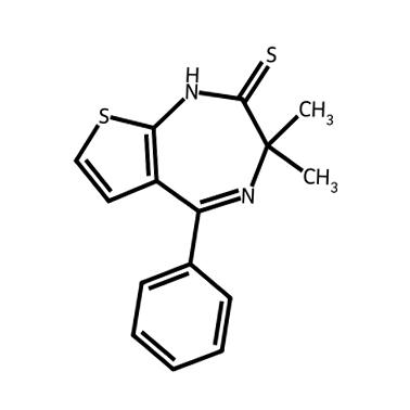 CC1(C)N=C(c2ccccc2)c2ccsc2NC1=S